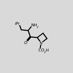 CC(C)CC(N)C(=O)C1CCN1C(=O)O